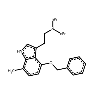 CCCN(CCC)CCc1c[nH]c2c(C)ccc(OCc3ccccc3)c12